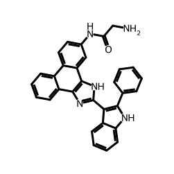 NCC(=O)Nc1ccc2c3ccccc3c3nc(-c4c(-c5ccccc5)[nH]c5ccccc45)[nH]c3c2c1